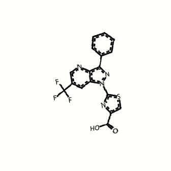 O=C(O)c1csc(-n2nc(-c3ccccc3)c3ncc(C(F)(F)F)cc32)n1